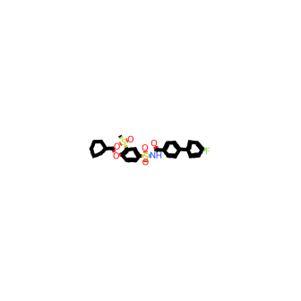 CS(=O)(=O)c1cc(S(=O)(=O)NC(=O)c2ccc(-c3ccc(F)cc3)cc2)ccc1OCC1CCCCC1